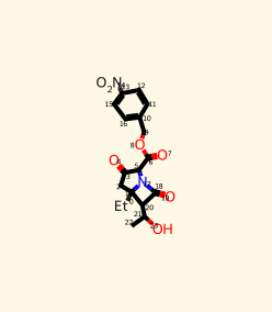 CCC12CC(=O)C(C(=O)OCc3ccc([N+](=O)[O-])cc3)N1C(=O)C2C(C)O